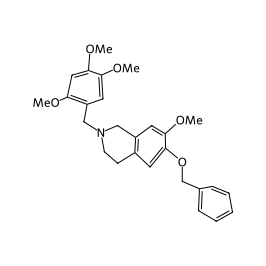 COc1cc(OC)c(OC)cc1CN1CCc2cc(OCc3ccccc3)c(OC)cc2C1